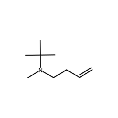 C=CCCN(C)C(C)(C)C